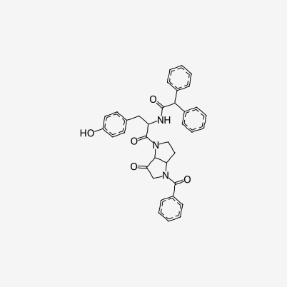 O=C(NC(Cc1ccc(O)cc1)C(=O)N1CCC2C1C(=O)CN2C(=O)c1ccccc1)C(c1ccccc1)c1ccccc1